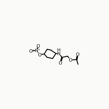 CC(=O)OCC(=O)NC1CCC(O[N+](=O)[O-])CC1